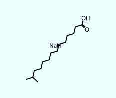 CC(C)CCCCCCCCCCCC(=O)O.[NaH]